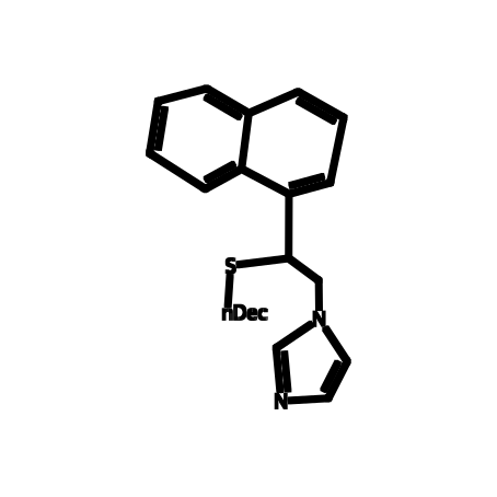 CCCCCCCCCCSC(Cn1ccnc1)c1cccc2ccccc12